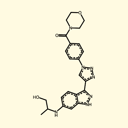 CC(CO)Nc1ccc2c(-c3cn(-c4ccc(C(=O)N5CCOCC5)cc4)nn3)n[nH]c2c1